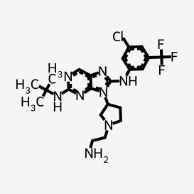 CC(C)(C)Nc1ncc2nc(Nc3cc(Cl)cc(C(F)(F)F)c3)n(C3CCN(CCN)C3)c2n1